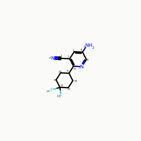 N#Cc1cc(N)cnc1C1CCC(F)(F)CC1